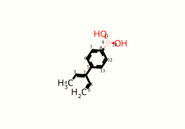 C=C/C(=C\C)c1ccc(B(O)O)cc1